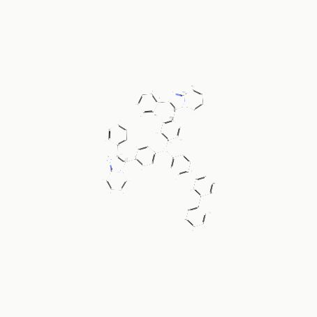 c1ccc(-c2cccc(-c3ccc(N(c4ccc(-c5c(-c6ccccc6)nc6ccccn56)cc4)c4ccc(-c5c(-c6ccccc6)nc6ccccn56)cc4)cc3)c2)cc1